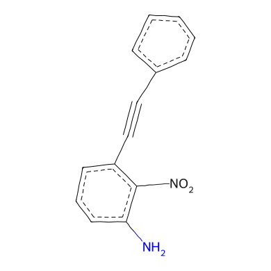 Nc1cccc(C#Cc2ccccc2)c1[N+](=O)[O-]